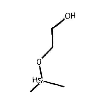 C[SiH](C)OCCO